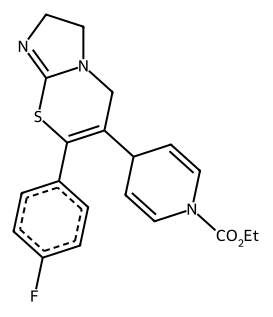 CCOC(=O)N1C=CC(C2=C(c3ccc(F)cc3)SC3=NCCN3C2)C=C1